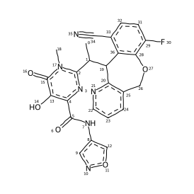 CC(c1nc(C(=O)Nc2cnoc2)c(O)c(=O)n1C)C1c2ncccc2COc2c(F)ccc(C#N)c21